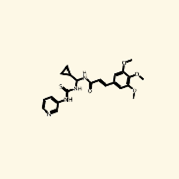 COc1cc(C=CC(=O)NC(NC(=S)Nc2cccnc2)C2CC2)cc(OC)c1OC